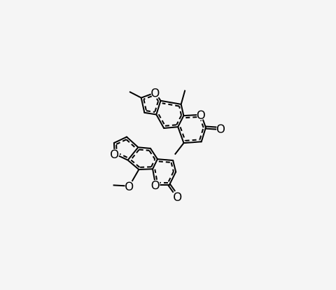 COc1c2occc2cc2ccc(=O)oc12.Cc1cc2cc3c(C)cc(=O)oc3c(C)c2o1